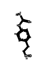 CCCC(=O)Oc1ccc(CCC=O)cc1